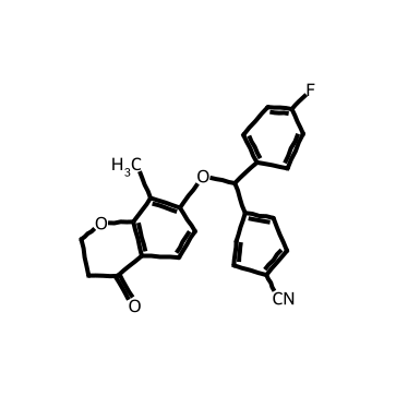 Cc1c(OC(c2ccc(F)cc2)c2ccc(C#N)cc2)ccc2c1OCCC2=O